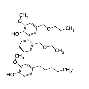 CCCOCc1ccc(O)c(OC)c1.CCOCc1ccccc1.[CH2]CCCCc1ccc(O)c(OC)c1